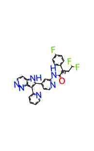 O=C(Nc1cc(-c2[nH]c3ccnnc3c2-c2ccccn2)ccn1)[C@H](CC(F)F)c1ccc(F)cc1